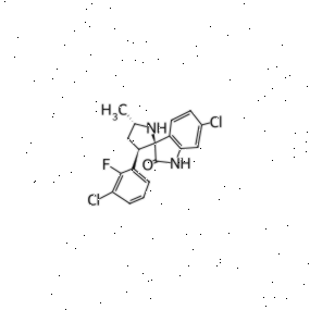 C[C@H]1C[C@H](c2cccc(Cl)c2F)[C@@]2(N1)C(=O)Nc1cc(Cl)ccc12